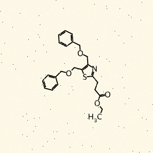 CCOC(=O)CCc1nc(COCc2ccccc2)c(COCc2ccccc2)s1